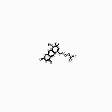 CCN(CC)OOSCC1=CC(C)(C)N(CC)c2cc3oc(=O)cc(C)c3cc21